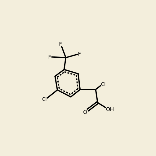 O=C(O)C(Cl)c1cc(Cl)cc(C(F)(F)F)c1